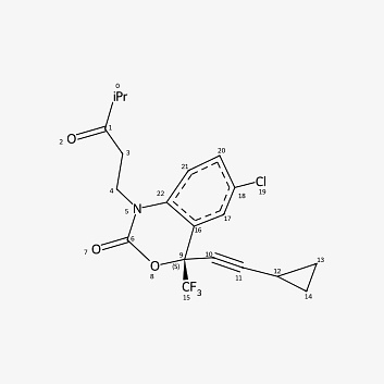 CC(C)C(=O)CCN1C(=O)O[C@](C#CC2CC2)(C(F)(F)F)c2cc(Cl)ccc21